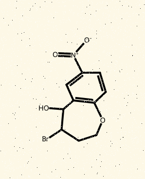 O=[N+]([O-])c1ccc2c(c1)C(O)C(Br)CCO2